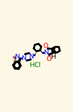 Cl.O=C1C2C3CCC(C3)[C@H]2C(=O)N1C[C@@H]1CCCC[C@H]1CN1CCN(c2nsc3ccccc23)CC1